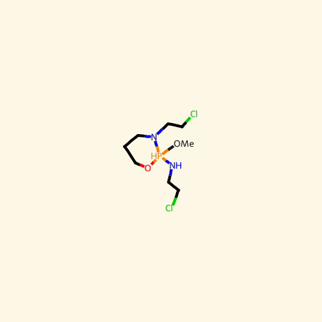 CO[PH]1(NCCCl)OCCCN1CCCl